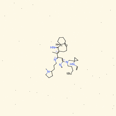 C=CNC1(CN(CCCC(C)(C)C)/C(=C/C(=N\CCCC2CCCN2C)C(/C)=C2\CCC3CCCC34CCCC[C@H]4C2=N)N=C)CC1